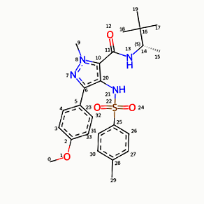 COc1ccc(-c2nn(C)c(C(=O)N[C@@H](C)C(C)(C)C)c2NS(=O)(=O)c2ccc(C)cc2)cc1